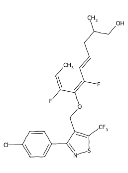 C\C=C(F)/C(OCc1c(-c2ccc(Cl)cc2)nsc1C(F)(F)F)=C(F)\C=C\CC(C)CO